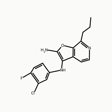 CCCc1nccc2c(Nc3ccc(F)c(Cl)c3)c(N)oc12